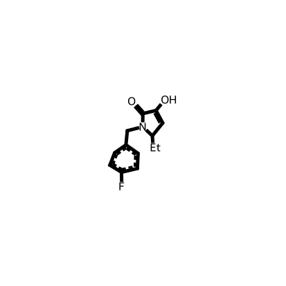 CCC1C=C(O)C(=O)N1Cc1ccc(F)cc1